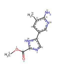 COC(=O)c1ncc(-c2cnc(N)c(C)c2)[nH]1